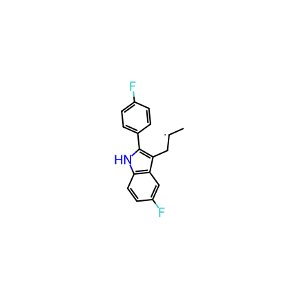 C[CH]Cc1c(-c2ccc(F)cc2)[nH]c2ccc(F)cc12